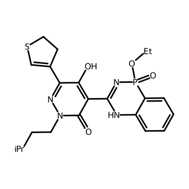 CCOP1(=O)N=C(c2c(O)c(C3=CSCC3)nn(CCC(C)C)c2=O)Nc2ccccc21